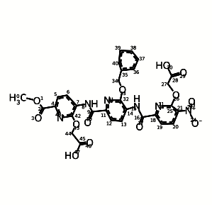 COC(=O)c1ccc(NC(=O)c2ccc(NC(=O)c3ccc([N+](=O)[O-])c(OCC(=O)O)n3)c(OCc3ccccc3)n2)c(OCC(=O)O)n1